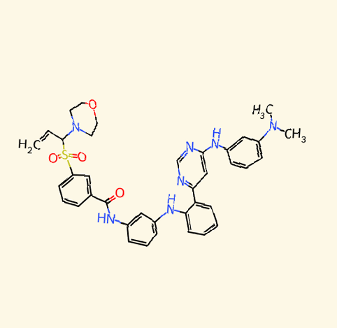 C=CC(N1CCOCC1)S(=O)(=O)c1cccc(C(=O)Nc2cccc(Nc3ccccc3-c3cc(Nc4cccc(N(C)C)c4)ncn3)c2)c1